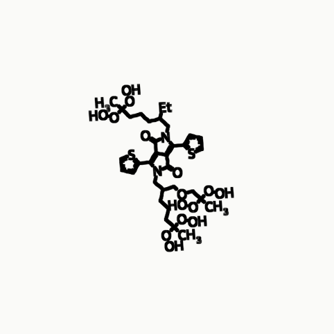 CCC(CCCC(C)(OO)OO)CN1C(=O)C2=C(c3cccs3)N(CC(CCCC(C)(OO)OO)COCC(C)(OO)OO)C(=O)C2=C1c1cccs1